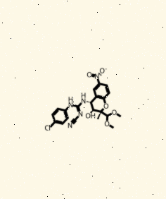 COC(OC)[C@@]1(C)Oc2ccc([N+](=O)[O-])cc2[C@@H](NC(=NC#N)Nc2ccc(Cl)cc2)[C@@H]1O